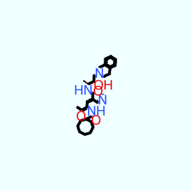 C/N=C\C(=C/C1=C(C)OC2(CCCCCCC2)C(=O)N1)C(=O)N[C@@H](C)[C@H](O)CN1CCc2ccccc2C1